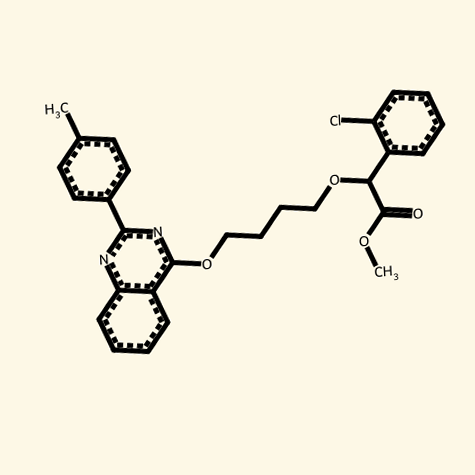 COC(=O)C(OCCCCOc1nc(-c2ccc(C)cc2)nc2ccccc12)c1ccccc1Cl